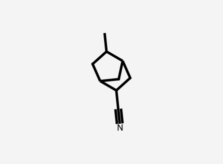 CC1CC2CC1CC2C#N